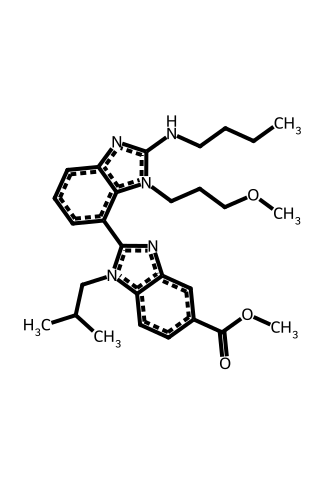 CCCCNc1nc2cccc(-c3nc4cc(C(=O)OC)ccc4n3CC(C)C)c2n1CCCOC